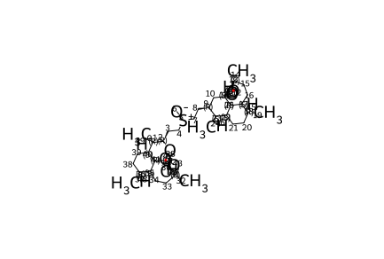 C[C@H]1[C@@H](CC[S+]([O-])CC[C@H]2C[C@@H]3O[C@]4(C)CC[C@H]5[C@H](C)CC[C@@H]([C@H]2C)[C@@]35OO4)O[C@@H]2O[C@]3(C)CC[C@H]4[C@H](C)CC[C@@H]1[C@@]24OO3